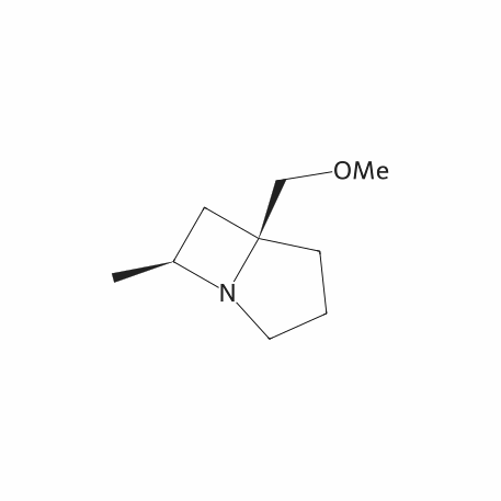 COC[C@@]12CCCN1[C@@H](C)C2